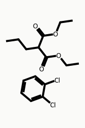 CCCC(C(=O)OCC)C(=O)OCC.Clc1ccccc1Cl